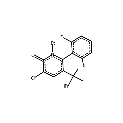 CCn1c(-c2c(F)cccc2F)c(C(C)(C)C(C)C)cc(Cl)c1=O